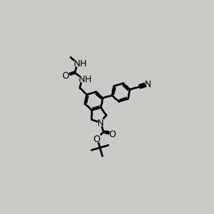 CNC(=O)NCc1cc2c(c(-c3ccc(C#N)cc3)c1)CN(C(=O)OC(C)(C)C)C2